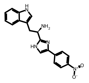 N[C@H](Cc1c[nH]c2ccccc12)c1nc(-c2ccc([N+](=O)[O-])cc2)c[nH]1